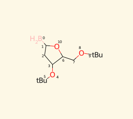 BC1CC(OC(C)(C)C)C(COC(C)(C)C)O1